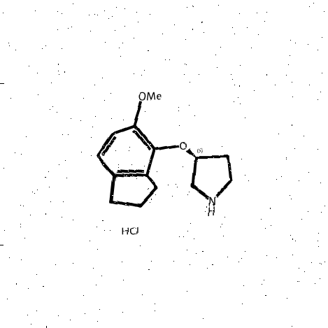 COc1ccc2c(c1O[C@H]1CCNC1)CCC2.Cl